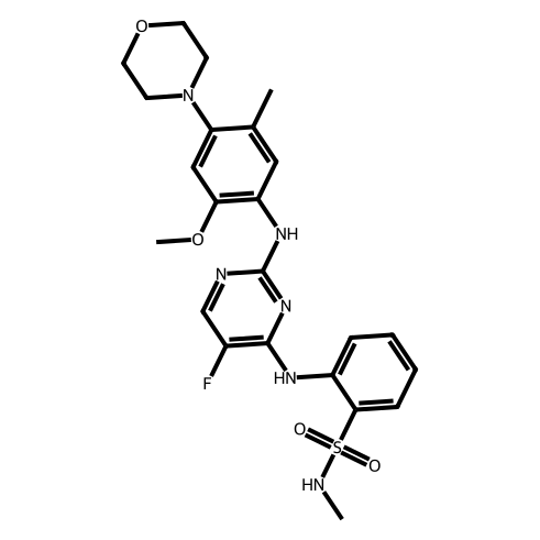 CNS(=O)(=O)c1ccccc1Nc1nc(Nc2cc(C)c(N3CCOCC3)cc2OC)ncc1F